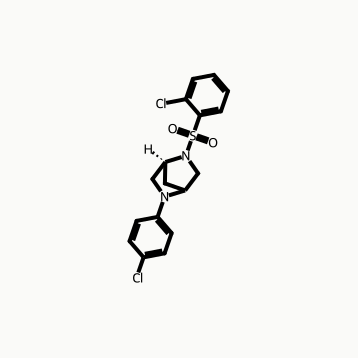 O=S(=O)(c1ccccc1Cl)N1CC2C[C@H]1CN2c1ccc(Cl)cc1